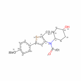 CCC(=O)N(c1cc(-c2ccc(OC)cc2)sc1C(=O)O)C1CCC(O)CC1